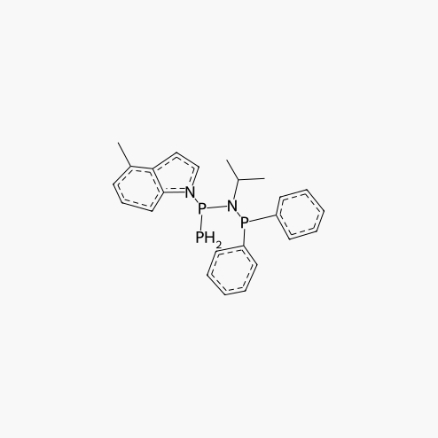 Cc1cccc2c1ccn2P(P)N(C(C)C)P(c1ccccc1)c1ccccc1